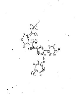 CC(C)(C)OC(=O)N1CCC[C@H]1C(=O)Nc1nc(-c2ccc(F)cc2)c(Oc2ccc(Cl)cn2)s1